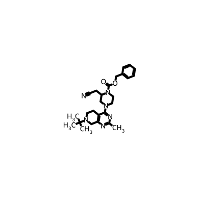 Cc1nc2c(c(N3CCN(C(=O)OCc4ccccc4)C(CC#N)C3)n1)CCN(C(C)(C)C)C2